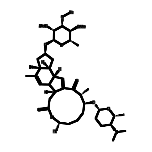 CCO[C@@H]1[C@@H](OC)[C@H](C)O[C@@H](O[C@H]2C[C@H]3[C@@H]4C=C5C(=O)[C@H](C)[C@@H](O[C@H]6CC[C@H](N(C)C)[C@@H](C)O6)CCC[C@H](CC)OC(=O)C[C@H]5C4C=C(C)[C@@H]3C2)[C@@H]1OC